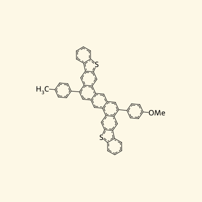 COc1ccc(-c2cc3cc4c(cc(-c5ccc(C)cc5)c5cc6c(cc54)sc4ccccc46)cc3c3cc4sc5ccccc5c4cc23)cc1